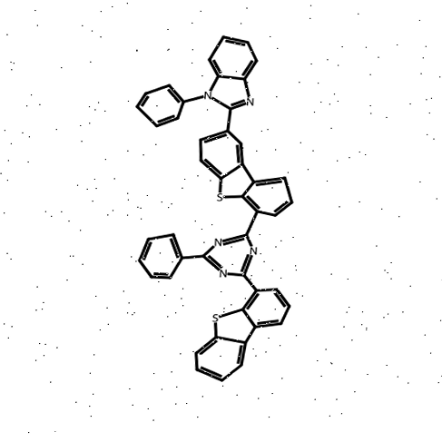 c1ccc(-c2nc(-c3cccc4c3sc3ccccc34)nc(-c3cccc4c3sc3ccc(-c5nc6ccccc6n5-c5ccccc5)cc34)n2)cc1